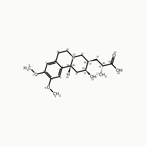 COc1cc2c(cc1OC)[C@H]1C[C@H](O)[C@H](C[C@@H](C)C(=O)O)CN1CC2